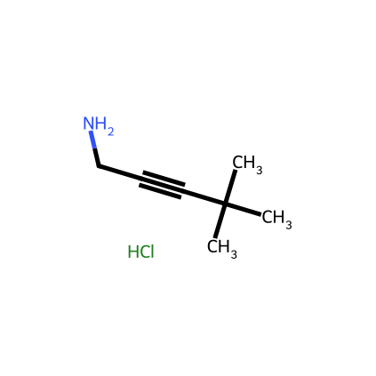 CC(C)(C)C#CCN.Cl